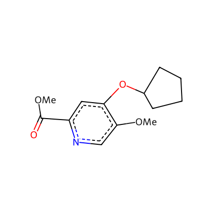 COC(=O)c1cc(OC2CCCC2)c(OC)cn1